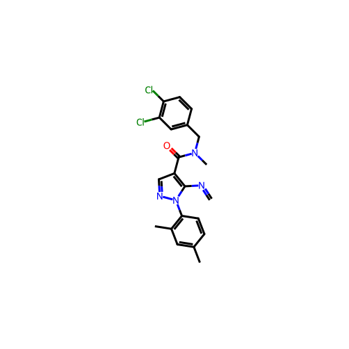 C=Nc1c(C(=O)N(C)Cc2ccc(Cl)c(Cl)c2)cnn1-c1ccc(C)cc1C